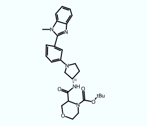 Cn1c(-c2cccc(N3CC[C@H](NC(=O)C4COCCN4C(=O)OC(C)(C)C)C3)c2)nc2ccccc21